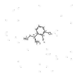 N[C@@H](CO)c1cccc(Cl)c1F